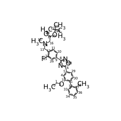 CCOc1cc(-c2nc(-c3ccc(CN(C)CC(=O)OC(C)(C)C)c(F)c3)no2)ccc1-c1ccccc1C